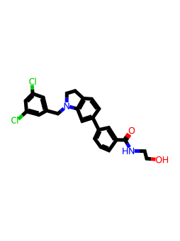 O=C(NCCO)c1cccc(-c2ccc3c(c2)N(Cc2cc(Cl)cc(Cl)c2)CC3)c1